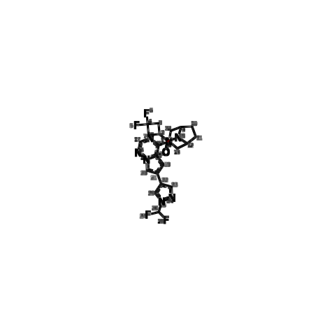 O=C(C1CC(F)(F)C1)N1C2CCC1CN(c1ncnn3cc(-c4cnn(C(F)F)c4)cc13)C2